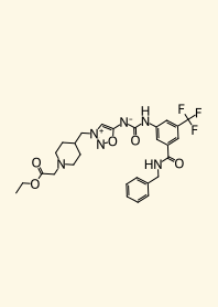 CCOC(=O)CN1CCC(C[n+]2cc([N-]C(=O)Nc3cc(C(=O)NCc4ccccc4)cc(C(F)(F)F)c3)on2)CC1